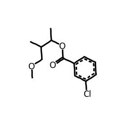 COCC(C)C(C)OC(=O)c1cccc(Cl)c1